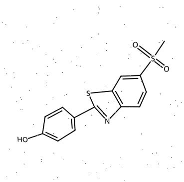 CS(=O)(=O)c1ccc2nc(-c3ccc(O)cc3)sc2c1